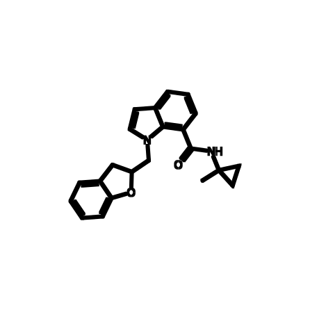 CC1(NC(=O)c2cccc3ccn(CC4Cc5ccccc5O4)c23)CC1